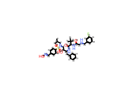 CC(C)CN(C[C@@H](O)[C@H](Cc1ccccc1)NC(=O)[C@H](NC(=O)CNCc1cccc(F)c1)C(C)(C)C)S(=O)(=O)c1ccc(/C=N/O)cc1